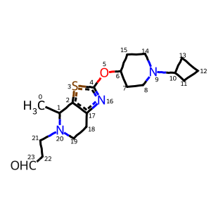 CC1c2sc(OC3CCN(C4CCC4)CC3)nc2CCN1CCC=O